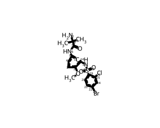 COc1ccc(NC(=O)C(C)(C)N)cc1NS(=O)(=O)c1ccc(Br)cc1Cl